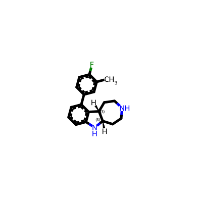 Cc1cc(-c2cccc3c2[C@@H]2CCNCC[C@@H]2N3)ccc1F